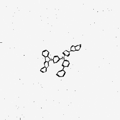 c1ccc(-c2cccc(N(c3ccc(-c4ccc5ccccc5c4)cc3)c3ccc(-n4c5ccccc5c5cc6ccccc6cc54)cc3)c2)cc1